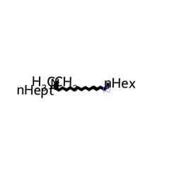 CCCCCC/C=C\CC=CCCCCCCCCCC(CCCCCCC)N(C)C